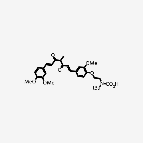 COc1ccc(C=CC(=O)C(C)C(=O)C=Cc2ccc(OCCN(C(=O)O)C(C)(C)C)c(OC)c2)cc1OC